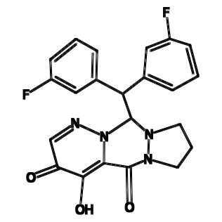 O=C1c2c(O)c(=O)cnn2C(C(c2cccc(F)c2)c2cccc(F)c2)N2CCCN12